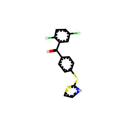 O=C(c1ccc(Sc2nccs2)cc1)c1cc(Cl)ccc1Cl